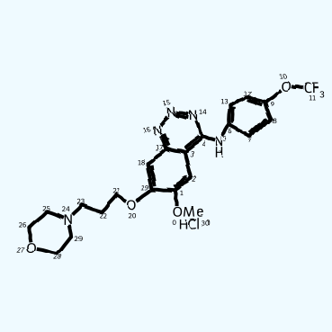 COc1cc2c(Nc3ccc(OC(F)(F)F)cc3)nnnc2cc1OCCCN1CCOCC1.Cl